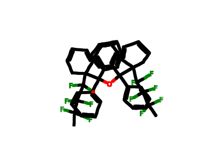 CC(F)(F)C(F)(F)C(F)(F)C1(C(OC(c2ccccc2)(c2ccccc2)C2(C(F)(F)C(F)(F)C(C)(F)F)C=CC=CC2)(c2ccccc2)c2ccccc2)C=CC=CC1